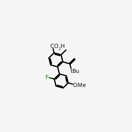 C=C(c1c(-c2cc(OC)ccc2F)ccc(C(=O)O)c1C)C(C)(C)C